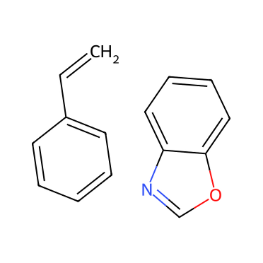 C=Cc1ccccc1.c1ccc2ocnc2c1